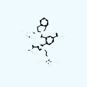 CCCCN(CCCC)C(=O)c1cn(CCO[Si](C)(C)C(C)(C)C)c(-c2ccc(C(=O)OC)cc2C(=O)N2Cc3ccccc3C[C@H]2CO[Si](C)(C)C(C)(C)C)n1